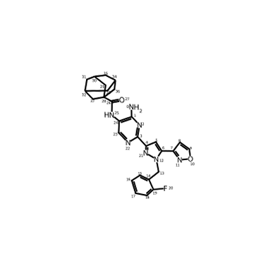 Nc1nc(-c2cc(-c3ccon3)n(Cc3ccccc3F)n2)ncc1NC(=O)C12CC3CC(CC(C3)C1)C2